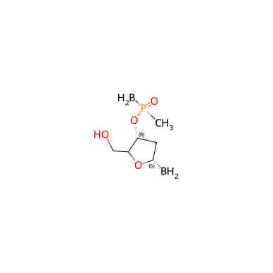 B[C@H]1C[C@@H](OP(B)(C)=O)C(CO)O1